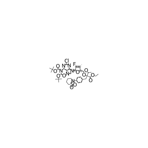 CCOC(=O)C(Cc1ccc(N2CCCCS2(=O)=O)cc1)(OC[C@H]1O[C@@H](n2cnc3c(N(C(=O)OC(C)(C)C)C(=O)OC(C)(C)C)nc(Cl)nc32)[C@@H](F)[C@@H]1C)C(C)=O